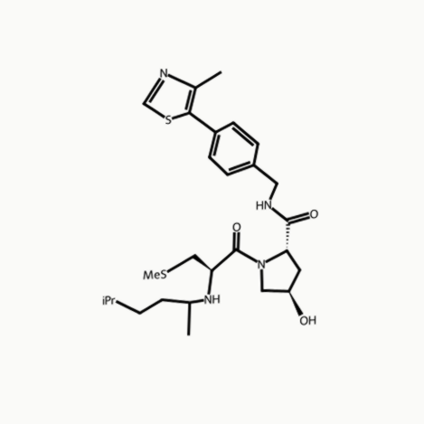 CSC[C@H](NC(C)CCC(C)C)C(=O)N1C[C@H](O)C[C@H]1C(=O)NCc1ccc(-c2scnc2C)cc1